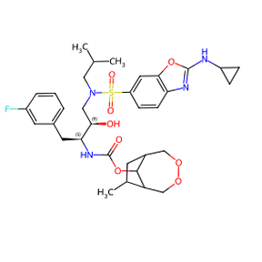 CC(C)CN(C[C@@H](O)[C@H](Cc1cccc(F)c1)NC(=O)OC1C2COOCC1C(C)C2)S(=O)(=O)c1ccc2nc(NC3CC3)oc2c1